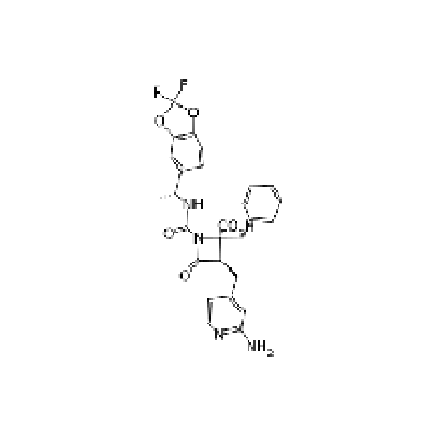 C[C@@H](NC(=O)N1C(=O)[C@H](Cc2ccnc(N)c2)[C@@]1(Cc1ccccc1)C(=O)O)c1ccc2c(c1)OC(F)(F)O2